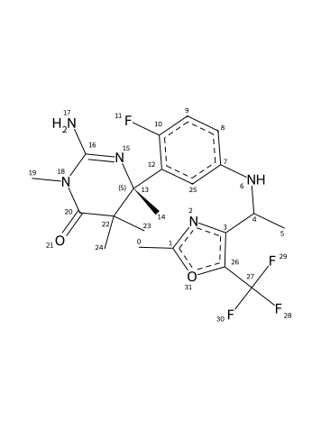 Cc1nc(C(C)Nc2ccc(F)c([C@@]3(C)N=C(N)N(C)C(=O)C3(C)C)c2)c(C(F)(F)F)o1